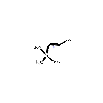 CCC/C=C/[Si](C)(OC)C(C)(C)C